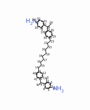 Cc1cc(N)ccc1C(C)c1ccc(CCCCCCCCCCc2ccc(C(C)c3ccc(N)cc3C)cc2)cc1